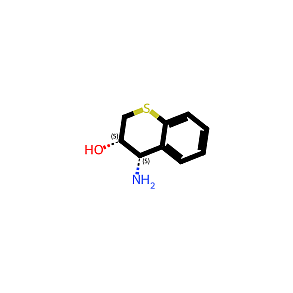 N[C@H]1c2ccccc2SC[C@H]1O